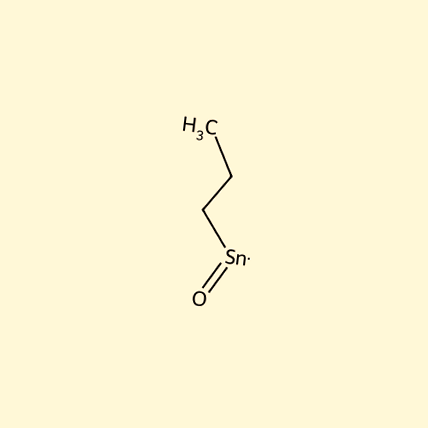 CC[CH2][Sn]=[O]